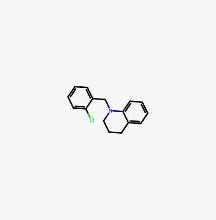 Clc1ccccc1CN1CCCc2ccccc21